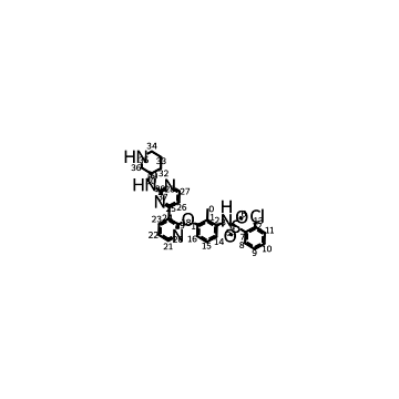 Cc1c(NS(=O)(=O)c2ccccc2Cl)cccc1Oc1ncccc1-c1ccnc(N[C@H]2CCCNC2)n1